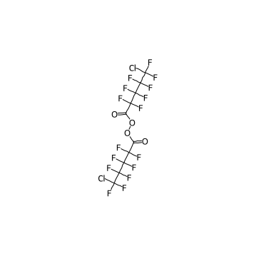 O=C(OOC(=O)C(F)(F)C(F)(F)C(F)(F)C(F)(F)Cl)C(F)(F)C(F)(F)C(F)(F)C(F)(F)Cl